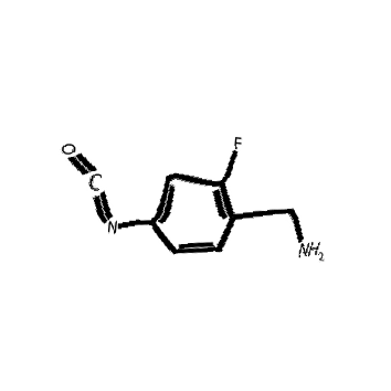 NCc1ccc(N=C=O)cc1F